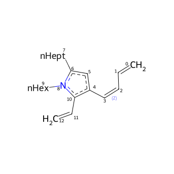 C=C/C=C\c1cc(CCCCCCC)n(CCCCCC)c1C=C